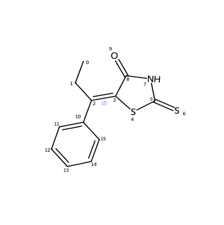 CC/C(=C1/SC(=S)NC1=O)c1ccccc1